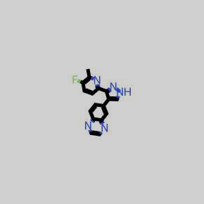 Cc1nc(-c2n[nH]cc2-c2ccc3nccnc3c2)ccc1F